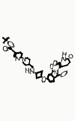 CC(C)(C)OC(=O)c1ccc(N2CCC(CN[C@H]3C[C@H](Oc4ccc5c(c4)C(=O)N(C4CCC(=O)NC4=O)C5=O)C3)CC2)nc1